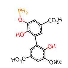 COc1cc(C(=O)O)cc(-c2cc(C(=O)O)cc(OP)c2O)c1O